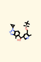 Cc1ncc(C(O)c2ccc3c(nnn3C3CC3)c2C)cc1CO[Si](C)(C)C(C)(C)C